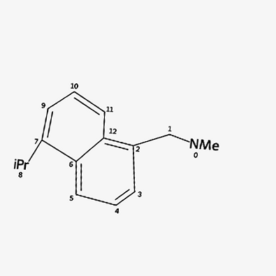 CNCc1cccc2c(C(C)C)cccc12